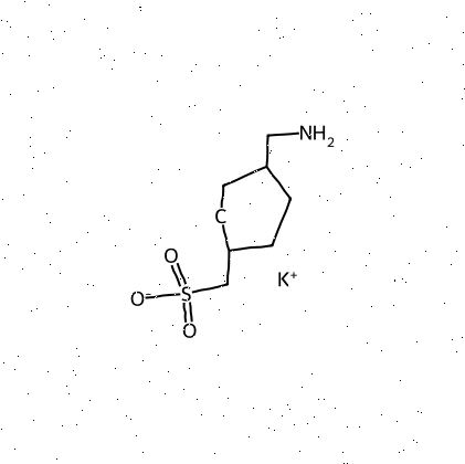 NCC1CCC(CS(=O)(=O)[O-])CC1.[K+]